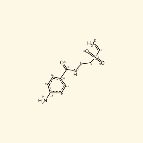 C=CS(=O)(=O)CCNC(=O)c1ccc(N)cc1